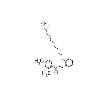 Cc1ccc(C(=O)/C=C/c2ccccc2CCCCCCCCCCCC(F)(F)F)c(C)c1